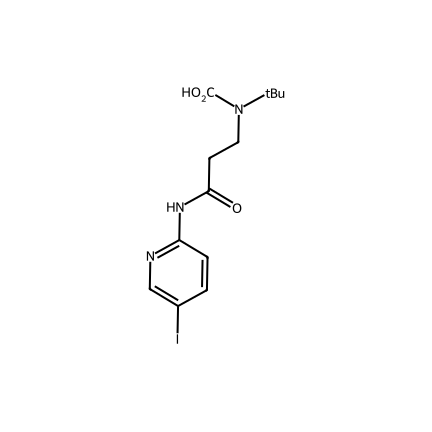 CC(C)(C)N(CCC(=O)Nc1ccc(I)cn1)C(=O)O